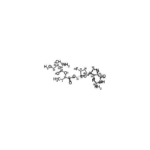 CCC(OC(=O)[C@@H](N)[C@@H](C)CC)C(=O)OC[C@H]1O[C@@H](n2cnc3c(=O)[nH]c(N)nc32)CC1F